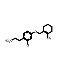 CCCC1=C(COc2ccc(CCC(=O)O)c(Cl)c2)CCCC1